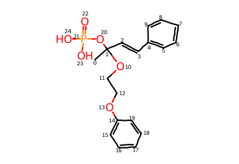 CC(C=Cc1ccccc1)(OCCOc1ccccc1)OP(=O)(O)O